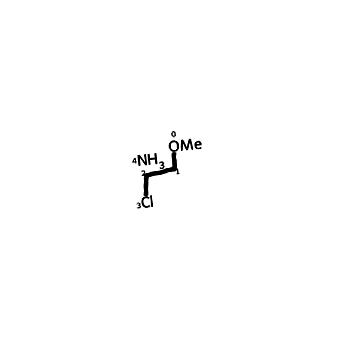 COCCCl.N